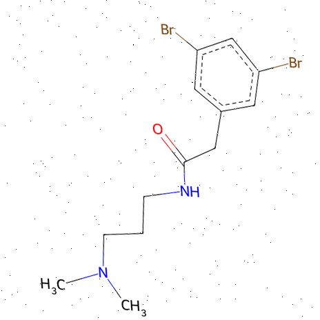 CN(C)CCCNC(=O)Cc1cc(Br)cc(Br)c1